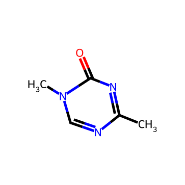 Cc1ncn(C)c(=O)n1